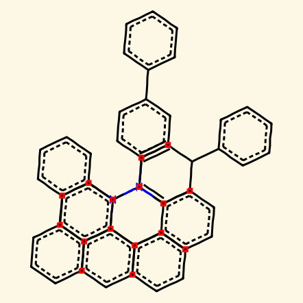 C1#CC(c2ccccc2)CC=C1N(c1ccccc1-c1ccccc1)c1ccccc1-c1ccccc1N(c1ccc(-c2ccccc2)cc1)c1ccccc1-c1ccccc1